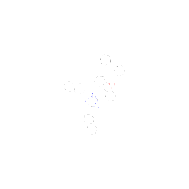 c1ccc2c(c1)-c1ccccc1C2c1cccc2c1oc1cccc(-c3nc(-c4ccc5ccccc5c4)nc(-c4ccc5ccccc5c4)n3)c12